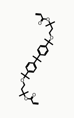 C=CC(=O)OC(C)(C)CCOC(C)(C)c1ccc(C(C)(C)c2ccc(C(C)(C)OCCC(C)(C)OC(=O)C=C)cc2)cc1